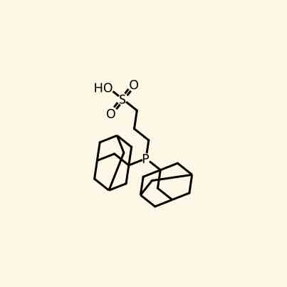 O=S(=O)(O)CCCP(C12CC3CC(CC(C3)C1)C2)C12CC3CC(CC(C3)C1)C2